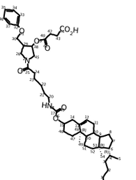 CC(C)CCCC(C)[C@H]1CCC2C3CC=C4CC(OC(=O)NCCCCCC(=O)N5CC(COc6ccccc6)C(OC(=O)CCC(=O)O)C5)CC[C@]4(C)C3CC[C@@]21C